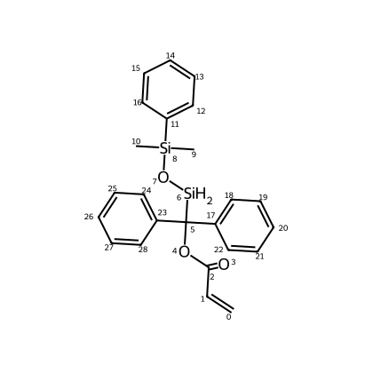 C=CC(=O)OC([SiH2]O[Si](C)(C)c1ccccc1)(c1ccccc1)c1ccccc1